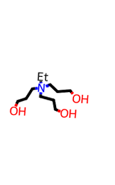 CC[N+](CCCO)(CCCO)CCCO